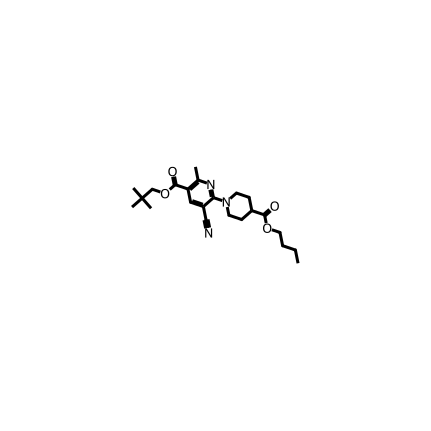 CCCCOC(=O)C1CCN(c2nc(C)c(C(=O)OCC(C)(C)C)cc2C#N)CC1